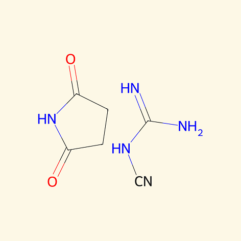 N#CNC(=N)N.O=C1CCC(=O)N1